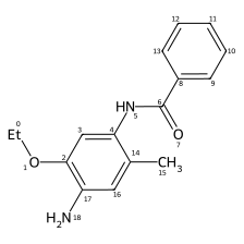 CCOc1cc(NC(=O)c2ccccc2)c(C)cc1N